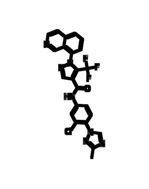 Cc1ncn(-c2ccc(NC(=O)c3cnn(-c4cccc5ccncc45)c3C(F)(F)F)cc2Cl)n1